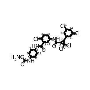 NOC(=O)Nc1ccc(NC(=O)c2cc(NC(=O)C3C(c4cc(Cl)cc(Cl)c4)C3(Cl)Cl)ccc2Cl)cc1